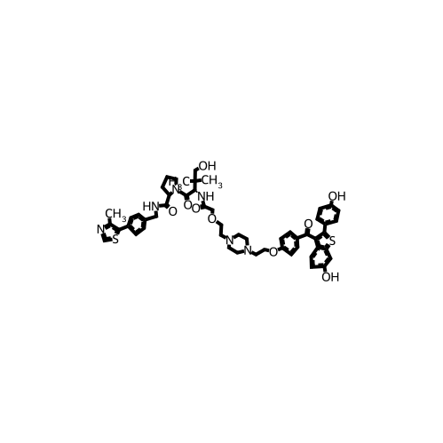 Cc1ncsc1-c1ccc(CNC(=O)C2CCCN2C(=O)[C@@H](NC(=O)COCCN2CCN(CCOc3ccc(C(=O)c4c(-c5ccc(O)cc5)sc5cc(O)ccc45)cc3)CC2)C(C)(C)CO)cc1